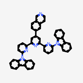 c1cc(-c2cc(-c3ccc4cnccc4c3)cc(-c3cccc(-n4c5ccccc5c5ccccc54)n3)n2)nc(-n2c3ccccc3c3ccccc32)c1